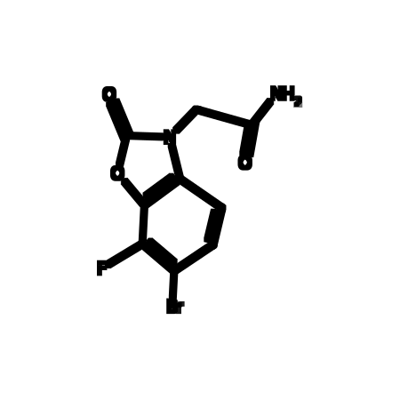 NC(=O)Cn1c(=O)oc2c(F)c(Br)ccc21